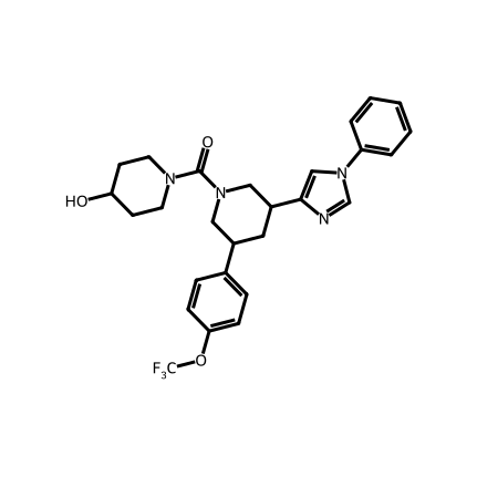 O=C(N1CCC(O)CC1)N1CC(c2ccc(OC(F)(F)F)cc2)CC(c2cn(-c3ccccc3)cn2)C1